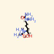 NC(=O)N(N)CCCCC(CO)N(N)C(N)=O